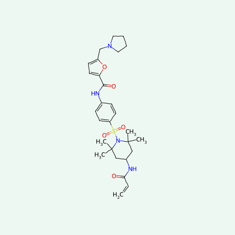 C=CC(=O)NC1CC(C)(C)N(S(=O)(=O)c2ccc(NC(=O)c3ccc(CN4CCCC4)o3)cc2)C(C)(C)C1